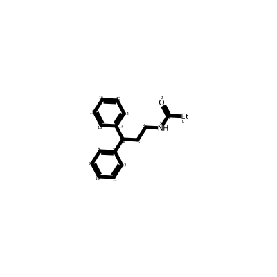 CCC(=O)NCCC(c1ccccc1)c1ccccc1